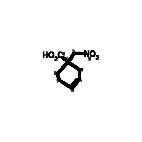 O=C(O)C1(C[N+](=O)[O-])CC=CCC1